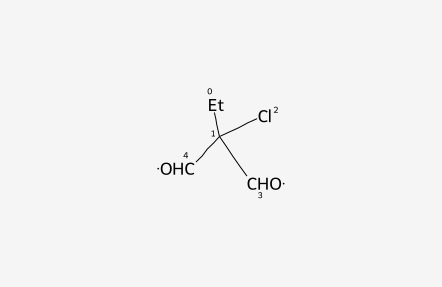 CCC(Cl)([C]=O)[C]=O